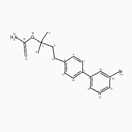 CC(C)(CCc1ccc(-c2cncc(Br)c2)cc1)OC(N)=O